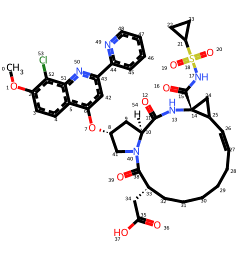 COc1ccc2c(O[C@@H]3C[C@H]4C(=O)N[C@]5(C(=O)NS(=O)(=O)C6CC6)CC5/C=C\CCCCC[C@H](CC(=O)O)C(=O)N4C3)cc(-c3ccccn3)nc2c1Cl